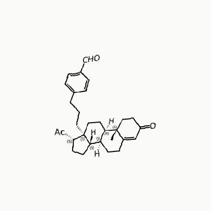 CC(=O)[C@H]1CC[C@H]2[C@@H]3CCC4=CC(=O)CC[C@@]4(C)[C@@H]3CC[C@]12CCCc1ccc(C=O)cc1